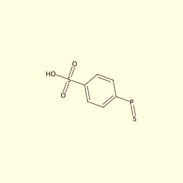 O=S(=O)(O)c1ccc(P=S)cc1